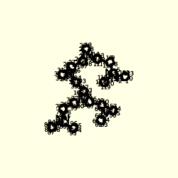 c1ccc(-c2cc(-c3cccc(-c4ccc(-n5c6ccccc6c6cc(-c7ccc8c9ccccc9n(-c9ccc(-c%10ccc%11c%12cc(-c%13ccc%14c%15ccccc%15n(-c%15ccccc%15)c%14c%13)ccc%12n(-c%12ccc(-c%13cccc(-c%14nc(-c%15ccccc%15)cc(-c%15ccccc%15)n%14)c%13)cc%12)c%11c%10)cc9)c8c7)ccc65)cc4)c3)nc(-c3ccccc3)n2)cc1